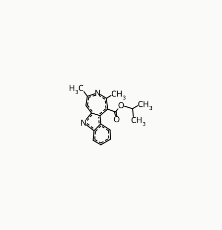 Cc1cc2nc3ccccc3c-2c(C(=O)OC(C)C)c(C)n1